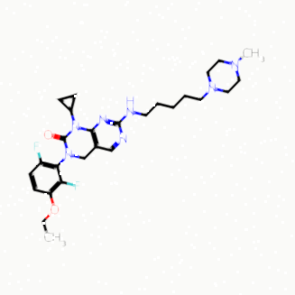 CCOc1ccc(F)c(N2Cc3cnc(NCCCCCN4CCN(C)CC4)nc3N(C3CC3)C2=O)c1F